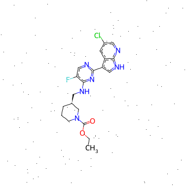 CCOC(=O)N1CCC[C@@H](CNc2nc(-c3c[nH]c4ncc(Cl)cc34)ncc2F)C1